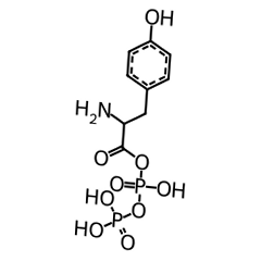 NC(Cc1ccc(O)cc1)C(=O)OP(=O)(O)OP(=O)(O)O